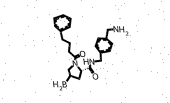 BC1C[C@@H](C(=O)NCc2ccc(CN)cc2)N(C(=O)CCCc2ccccc2)C1